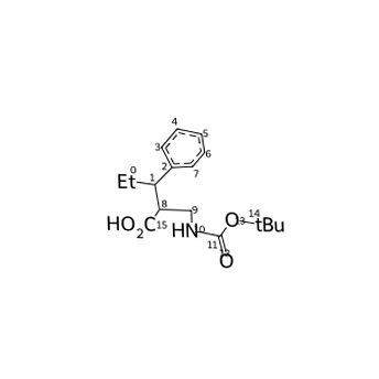 CCC(c1ccccc1)C(CNC(=O)OC(C)(C)C)C(=O)O